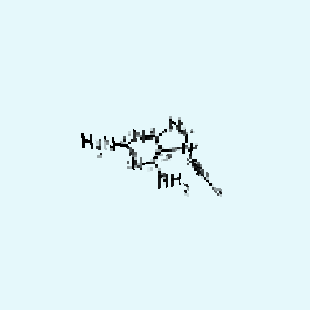 CC#Cn1cnc2nc(N)nc(N)c21